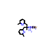 Br.Br.Cc1cccc(CC(C)(N)Cc2cccc(C)n2)n1.N.[Fe]